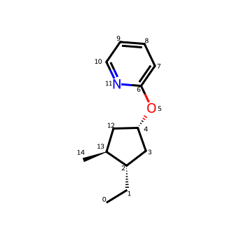 CC[C@H]1C[C@@H](Oc2ccccn2)C[C@@H]1C